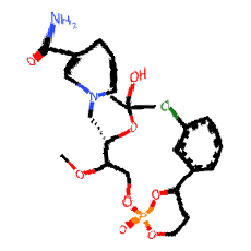 COC(COP1(=O)OCCC(c2cccc(Cl)c2)O1)[C@H](CN1C=CCC(C(N)=O)=C1)OC(C)(C)O